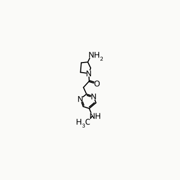 CNc1cnc(CC(=O)N2CCC(N)C2)nc1